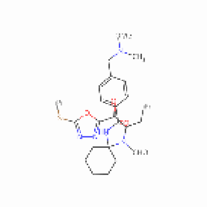 CON(C)Cc1ccc(C(=O)NC2(N(C=O)C(CC(C)C)C(=O)c3nnc(SC(C)C)o3)CCCCC2)cc1